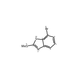 CSc1nc2cccc(Br)c2s1